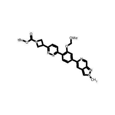 COCOc1cc(-c2cc3cn(C)nc3cn2)ccc1-c1ccc(C2CN(C(=O)OC(C)(C)C)C2)nn1